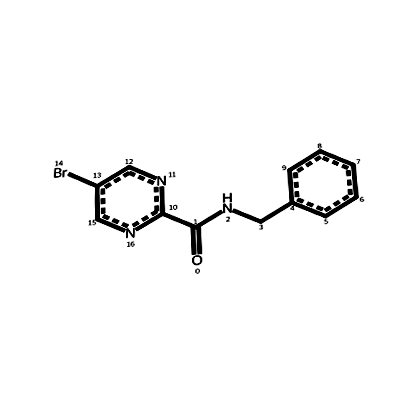 O=C(NCc1ccccc1)c1ncc(Br)cn1